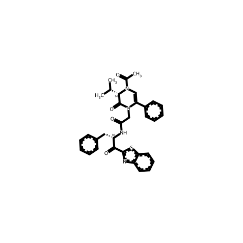 CC(=O)N1C=C(c2ccccc2)N(CC(=O)N[C@@H](Cc2ccccc2)C(=O)c2nc3ccccc3s2)C(=O)[C@@H]1C(C)C